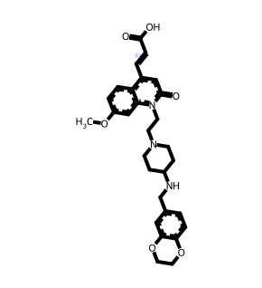 COc1ccc2c(/C=C/C(=O)O)cc(=O)n(CCN3CCC(NCc4ccc5c(c4)OCCO5)CC3)c2c1